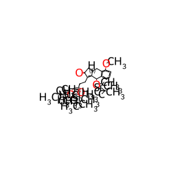 COc1cccc2c1C[C@H]1CC(=O)C(CC[C@H](CO[Si](C)(C)C(C)(C)C)O[Si](C)(C)C(C)(C)C)=C1C2O[Si](C)(C)C(C)(C)C